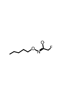 CCCCCON=C([O])CF